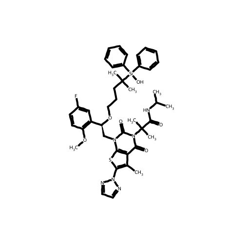 COc1ccc(F)cc1[C@H](Cn1c(=O)n(C(C)(C)C(=O)NC(C)C)c(=O)c2c(C)c(-n3nccn3)sc21)OCCCC(C)(C)[Si](O)(c1ccccc1)c1ccccc1